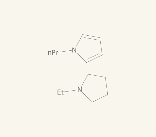 CCCn1cccc1.CCN1CCCC1